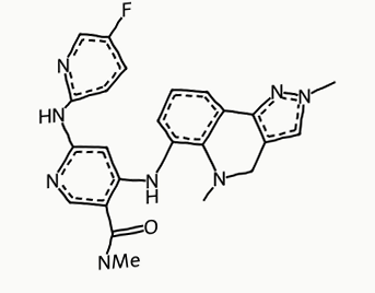 CNC(=O)c1cnc(Nc2ccc(F)cn2)cc1Nc1cccc2c1N(C)Cc1cn(C)nc1-2